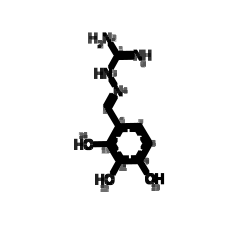 N=C(N)NN=Cc1ccc(O)c(O)c1O